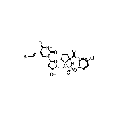 COC(=O)C1(NP(=O)(OC[C@H]2O[C@@H](n3cc(/C=C/Br)c(=O)[nH]c3=O)CC2O)Oc2ccc(Cl)cc2)CCCC1